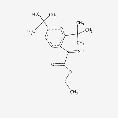 CCOC(=O)C(=N)c1ccc(C(C)(C)C)nc1C(C)(C)C